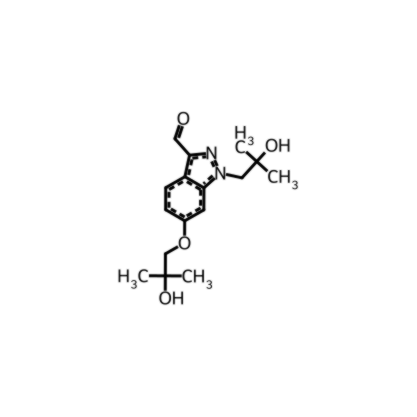 CC(C)(O)COc1ccc2c(C=O)nn(CC(C)(C)O)c2c1